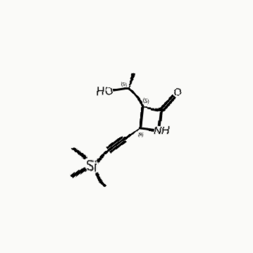 C[C@H](O)[C@H]1C(=O)N[C@H]1C#C[Si](C)(C)C